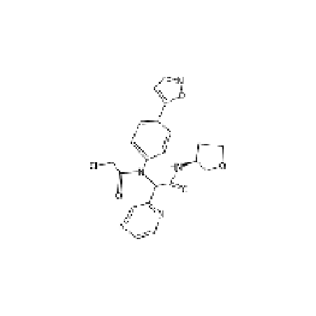 O=C(N[C@H]1CCOC1)C(c1cnccn1)N(C(=O)CCl)c1ccc(-c2ccno2)cc1